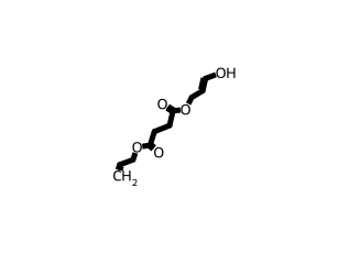 C=CCOC(=O)CCC(=O)OCC=CO